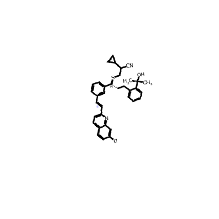 CC(C)(O)c1ccccc1CC[C@@H](SCC(C#N)C1CC1)c1cccc(/C=C/c2ccc3ccc(Cl)cc3n2)c1